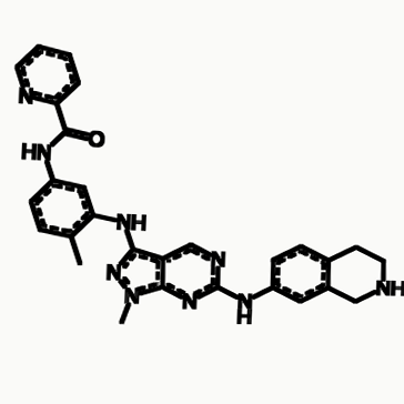 Cc1ccc(NC(=O)c2ccccn2)cc1Nc1nn(C)c2nc(Nc3ccc4c(c3)CNCC4)ncc12